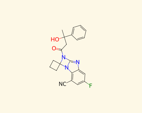 CC(O)(CC(=O)N1c2nc3cc(F)cc(C#N)c3n2C12CCC2)c1ccccc1